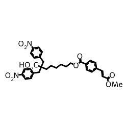 COC(=O)C=Cc1ccc(C(=O)OCCCCCCC(Cc2ccc([N+](=O)[O-])cc2)(Cc2ccc([N+](=O)[O-])cc2)C(=O)O)cc1